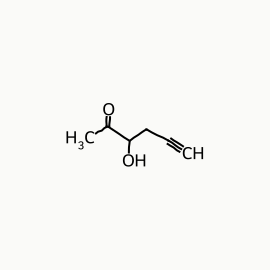 C#CCC(O)C(C)=O